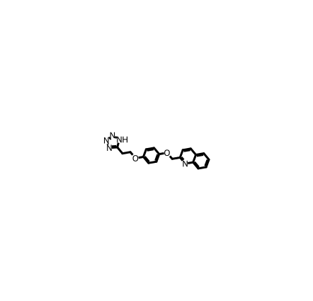 c1ccc2nc(COc3ccc(OCCc4nnn[nH]4)cc3)ccc2c1